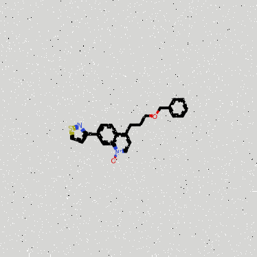 [O-][n+]1ccc(CCCOCc2ccccc2)c2ccc(-c3ccsn3)cc21